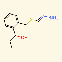 CCC(O)c1ccccc1CSC=NN